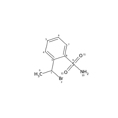 CC(Br)c1ccccc1S(N)(=O)=O